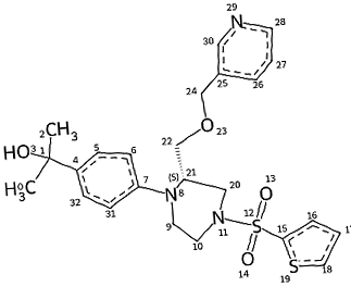 CC(C)(O)c1ccc(N2CCN(S(=O)(=O)c3cccs3)C[C@H]2COCc2cccnc2)cc1